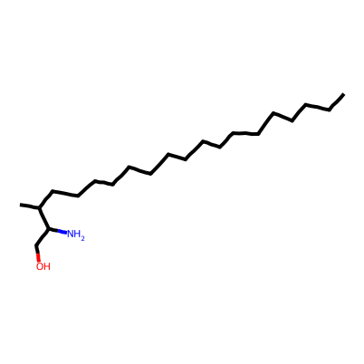 CCCCCCCCCCCCCCCCCC(C)C(N)CO